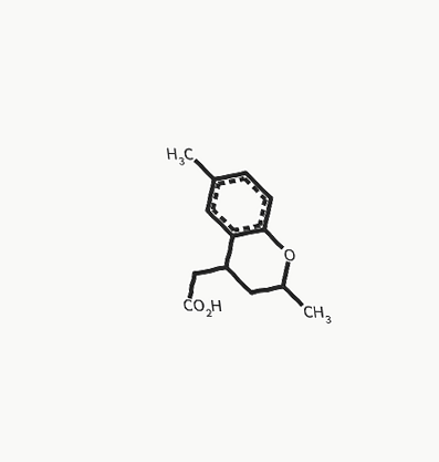 Cc1ccc2c(c1)C(CC(=O)O)CC(C)O2